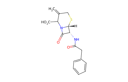 C=C1CS[C@@H]2[C@H](NC(=O)Cc3ccccc3)C(=O)N2C1C(=O)O